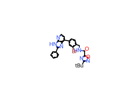 CC(C)(C)c1noc(C(=O)NCc2ccc(-c3ccnc4[nH]c(-c5ccccc5)nc34)cc2Br)n1